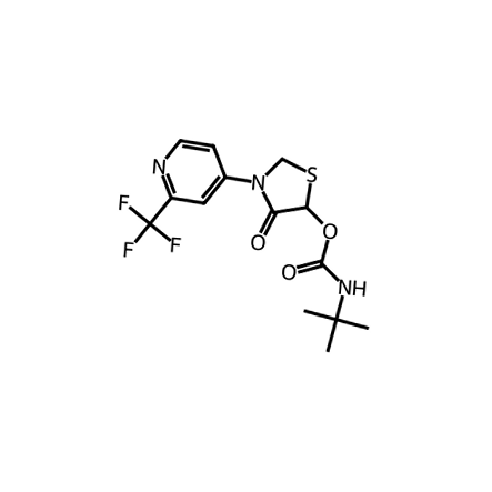 CC(C)(C)NC(=O)OC1SCN(c2ccnc(C(F)(F)F)c2)C1=O